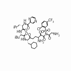 CC[C@H](C)[C@H](NC(=O)[C@H](CC(C)C)NC(=O)c1cnccn1)C(=O)N[C@@H](CC1CCCCC1)C(=O)CCC(N)C(=O)C(=O)N(C(=O)CN)S(=O)(=O)c1cc(C(F)(F)F)ccc1Cl